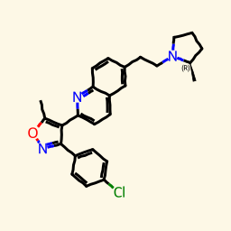 Cc1onc(-c2ccc(Cl)cc2)c1-c1ccc2cc(CCN3CCC[C@H]3C)ccc2n1